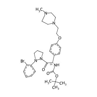 CN1CCN(CCOc2ccc([C@H](NC(=O)OC(C)(C)C)C(=O)N3CCCN3c3ccccc3Br)cc2)CC1